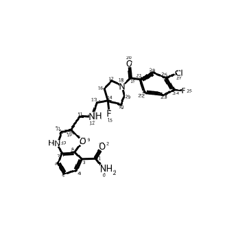 NC(=O)c1cccc2c1OC(CNCC1(F)CCN(C(=O)c3ccc(F)c(Cl)c3)CC1)CN2